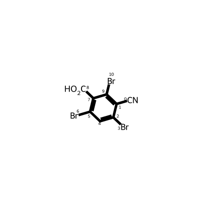 N#Cc1c(Br)cc(Br)c(C(=O)O)c1Br